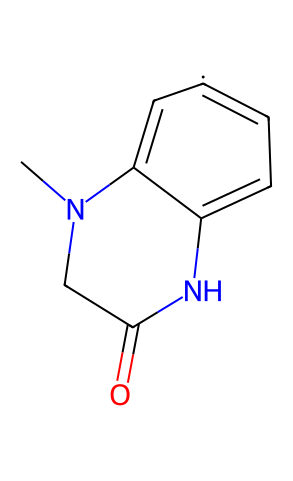 CN1CC(=O)Nc2cc[c]cc21